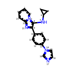 c1ccn2c(NC3CC3)c(-c3ccc(-n4ccnc4)cc3)nc2c1